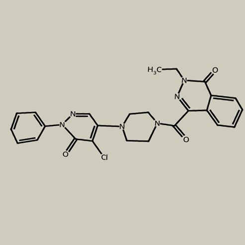 CCn1nc(C(=O)N2CCN(c3cnn(-c4ccccc4)c(=O)c3Cl)CC2)c2ccccc2c1=O